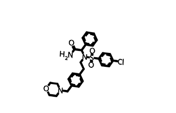 NC(=O)C(c1ccccc1)N(CCc1ccc(CN2CCOCC2)cc1)S(=O)(=O)c1ccc(Cl)cc1